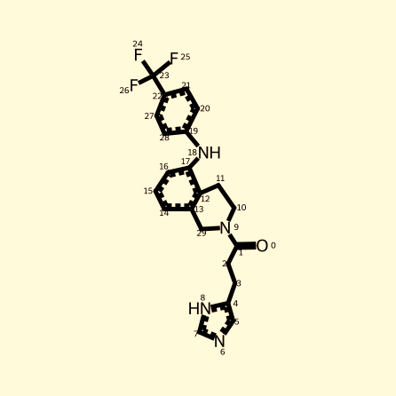 O=C(CCc1cnc[nH]1)N1CCc2c(cccc2Nc2ccc(C(F)(F)F)cc2)C1